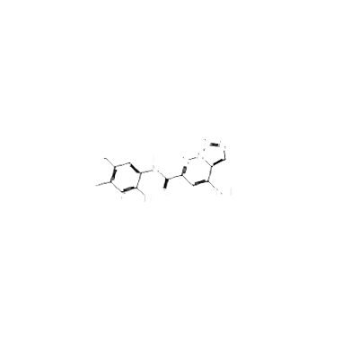 Nc1cc(C(=O)Nc2cc(Cl)c(Cl)cc2C(=O)O)nn2nncc12